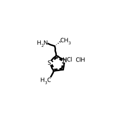 Cc1cnc([C@@H](C)N)s1.Cl.Cl